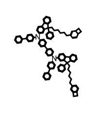 C1=CC2CCC2C=C1CCCCCCC1(c2ccccc2)c2ccccc2-c2ccc(N(c3ccc(-c4ccccc4)cc3)c3ccc(-c4ccc(N(c5ccc(-c6ccccc6)cc5)c5ccc6c(c5)C(CCCCCCc5ccc7c(c5)CC7)(c5ccccc5)c5ccccc5-6)cc4)cc3)cc21